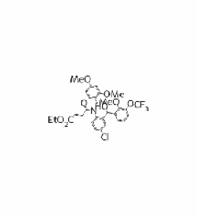 CCOC(=O)/C=C/C(=O)N(Cc1ccc(OC)cc1OC)c1ccc(Cl)cc1C(O)c1cccc(OC(F)(F)F)c1OC